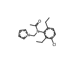 CCc1ccc(Cl)c(CC)c1N(Cn1cccc1)C(C)=O